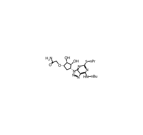 CCCCNc1nc(SCCC)nc2c1nnn2[C@@H]1C[C@H](OCC(N)=O)[C@@H](O)[C@H]1O